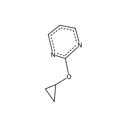 c1cnc(OC2CC2)nc1